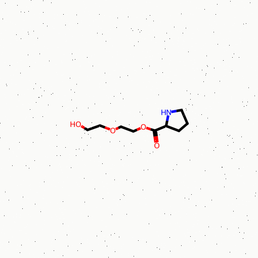 O=C(OCCOCCO)C1CCCN1